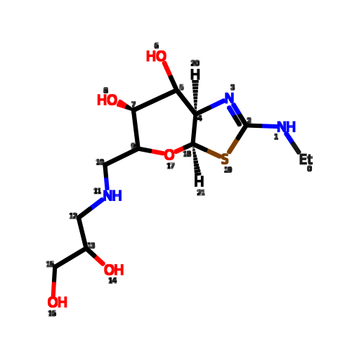 CCNC1=N[C@@H]2C(O)[C@H](O)C(CNCC(O)CO)O[C@@H]2S1